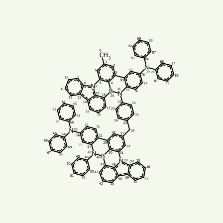 Cc1cc2c3c(c1)-n1c4ccccc4c4cccc(c41)B3N(c1ccc(Cc3cc4c5c(c3)-n3c6ccccc6c6cccc(c63)B5N(c3ccccc3)c3cc(N(c5ccccc5)c5ccccc5)ccc3-4)cc1)c1ccc(N(c3ccccc3)c3ccccc3)cc1-2